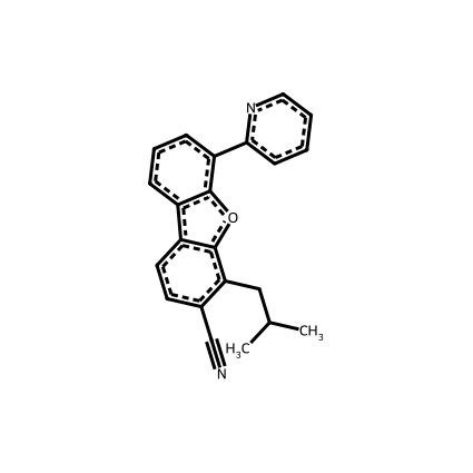 CC(C)Cc1c(C#N)ccc2c1oc1c(-c3ccccn3)cccc12